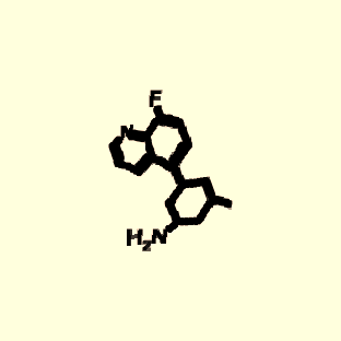 CC1CC(N)CC(c2ccc(F)c3ncccc23)C1